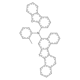 Cc1ccccc1N(c1cc2sc3c4ccccc4ccc3c2c2ccccc12)c1cccc2c1oc1ccccc12